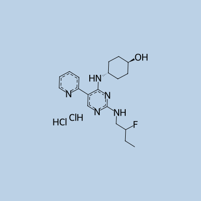 CCC(F)CNc1ncc(-c2ccccn2)c(N[C@H]2CC[C@H](O)CC2)n1.Cl.Cl